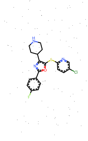 Fc1ccc(-c2nc(C3CCNCC3)c(Sc3ccc(Cl)cn3)o2)cc1